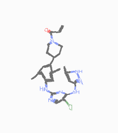 C=CC(=O)N1CCC(c2cc(C)c(Nc3ncc(Cl)c(Nc4cc(C)[nH]n4)n3)cc2C)CC1